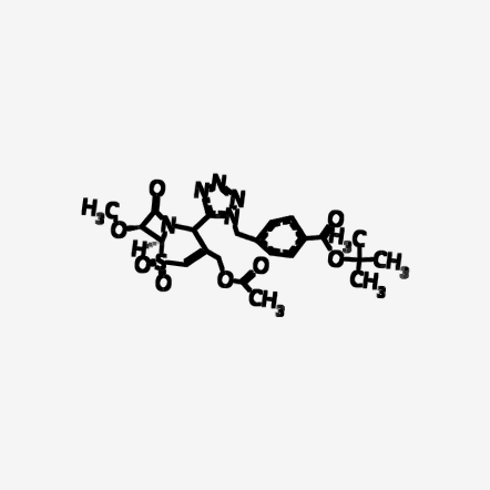 CO[C@H]1C(=O)N2C(c3nnnn3Cc3ccc(C(=O)OC(C)(C)C)cc3)C(COC(C)=O)=CS(=O)(=O)[C@@H]12